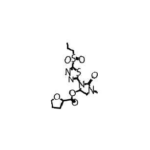 CCCS(=O)(=O)c1nnc(N2C(=O)N(C)CC2OC(=O)C2CCCO2)s1